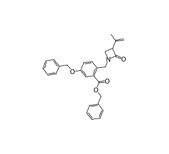 C=C(C)C1CN(Cc2ccc(OCc3ccccc3)cc2C(=O)OCc2ccccc2)C1=O